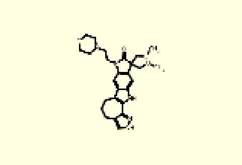 COCC1(COC)C(=O)N(CCN2CCOCC2)c2cc3c4c([nH]c3cc21)-c1n[nH]cc1CCC4